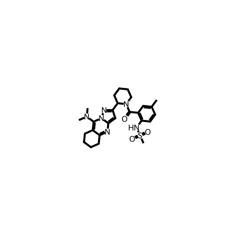 Cc1ccc(NS(C)(=O)=O)c(C(=O)N2CCCCC2c2cc3nc4c(c(N(C)C)n3n2)CCCC4)c1